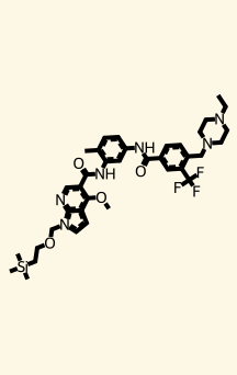 CCN1CCN(Cc2ccc(C(=O)Nc3ccc(C)c(NC(=O)c4cnc5c(ccn5COCC[Si](C)(C)C)c4OC)c3)cc2C(F)(F)F)CC1